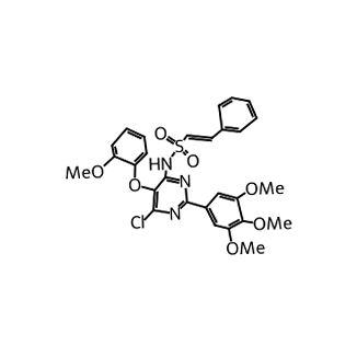 COc1ccccc1Oc1c(Cl)nc(-c2cc(OC)c(OC)c(OC)c2)nc1NS(=O)(=O)C=Cc1ccccc1